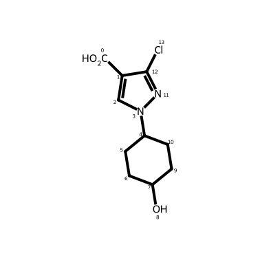 O=C(O)c1cn(C2CCC(O)CC2)nc1Cl